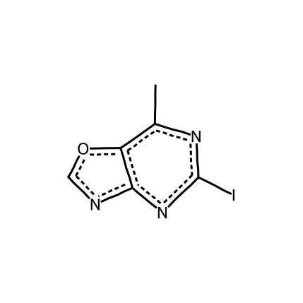 Cc1nc(I)nc2ncoc12